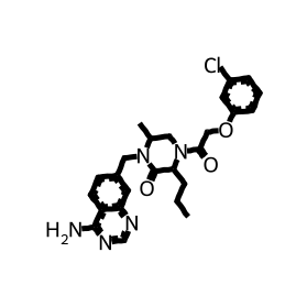 CCCC1C(=O)N(Cc2ccc3c(N)ncnc3c2)C(C)CN1C(=O)COc1cccc(Cl)c1